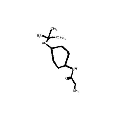 CC(C)(C)NC1CCC(NC(=O)CN)CC1